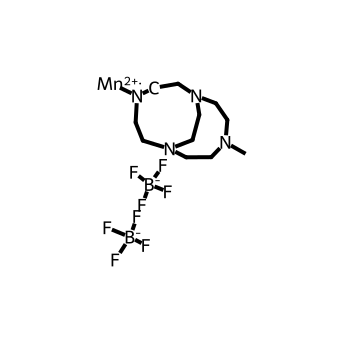 CN1CCN2CCN(C)CCN(CC1)CC2.F[B-](F)(F)F.F[B-](F)(F)F.[Mn+2]